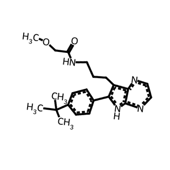 COCC(=O)NCCCc1c(-c2ccc(C(C)(C)C)cc2)[nH]c2nccnc12